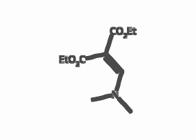 CCOC(=O)C(=CN(C)C)C(=O)OCC